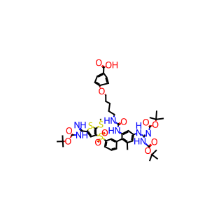 CSc1sc(C(=N)NC(=O)OC(C)(C)C)cc1S(=O)(=O)c1cccc(-c2c(C)cc(N/C(=N\C(=O)OC(C)(C)C)NC(=O)OC(C)(C)C)cc2NC(=O)NCCCCCOc2ccc(C(=O)O)cc2)c1